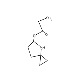 CCC([O])OC1CCC2(CC2)N1